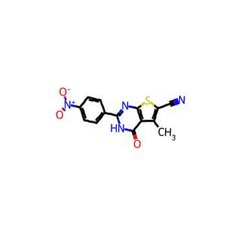 Cc1c(C#N)sc2nc(-c3ccc([N+](=O)[O-])cc3)[nH]c(=O)c12